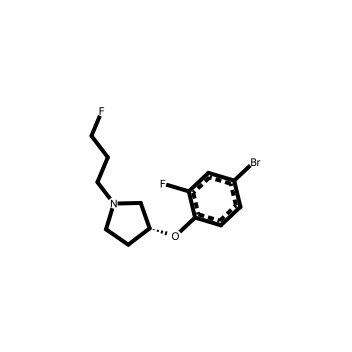 FCCCN1CC[C@@H](Oc2ccc(Br)cc2F)C1